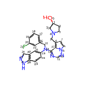 O[C@H]1CCN(Cc2ccn3ncnc(N(Cc4cccc(F)c4)c4ccc5[nH]ncc5c4)c23)C1